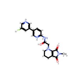 CN1C(=O)C2=C(C1=O)N(CC(=O)Nc1ccc(-c3cncc(F)c3)cn1)CCC2